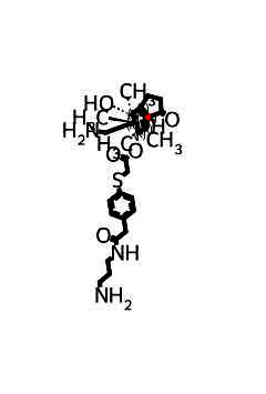 C[C@@H]1CC[C@@]23CCC(=O)[C@H]2[C@]1(C)[C@H](OC(=O)CSc1ccc(CC(=O)NCCCN)cc1)C[C@](C)(CN)[C@@H](O)[C@@H]3C